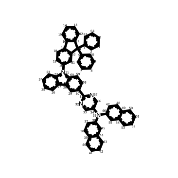 c1ccc(C2(c3ccccc3)c3ccccc3-c3ccc(-n4c5ccccc5c5cc(-c6ncc(N(c7ccc8ccccc8c7)c7ccc8ccccc8c7)cn6)ccc54)cc32)cc1